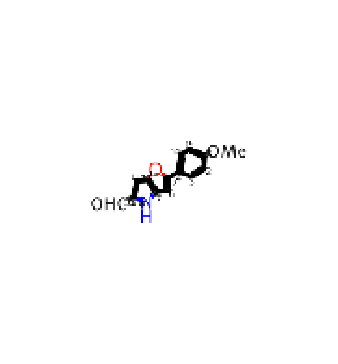 COc1ccc(-c2cc3[nH]c(C=O)cc3o2)cc1